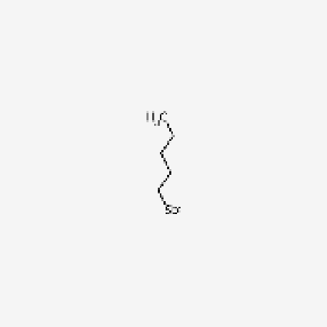 CCCC[CH2][Sb]